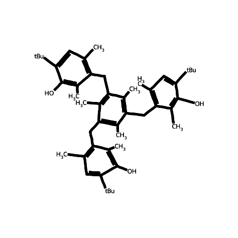 Cc1cc(C(C)(C)C)c(O)c(C)c1Cc1c(C)c(Cc2c(C)cc(C(C)(C)C)c(O)c2C)c(C)c(Cc2c(C)cc(C(C)(C)C)c(O)c2C)c1C